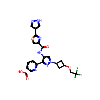 O=C(Nc1cn(C2CC(OCC(F)(F)F)C2)nc1-c1ccccn1)c1csc(-c2cn[nH]c2)n1.O=CO